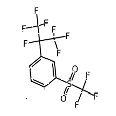 O=S(=O)(c1[c]ccc(C(F)(C(F)(F)F)C(F)(F)F)c1)C(F)(F)F